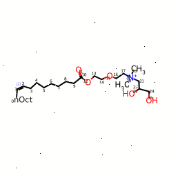 CCCCCCCC/C=C\CCCCCCCC(=O)OCCOCC[N+](C)(C)CC(O)CO